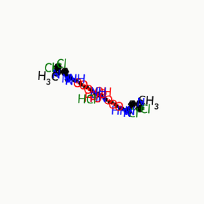 CN1Cc2c(Cl)cc(Cl)cc2[C@H](c2cccc(-c3cc(NCCOCCOCCOCCNC(=O)[C@H](O)[C@@H](O)C(=O)NCCOCCOCCOCCNc4cc(-c5cccc([C@@H]6CN(C)Cc7c(Cl)cc(Cl)cc76)c5)ncn4)ncn3)c2)C1.Cl